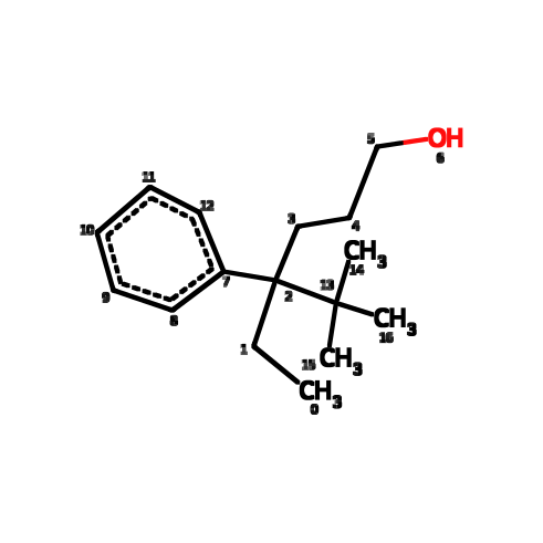 CCC(CCCO)(c1ccccc1)C(C)(C)C